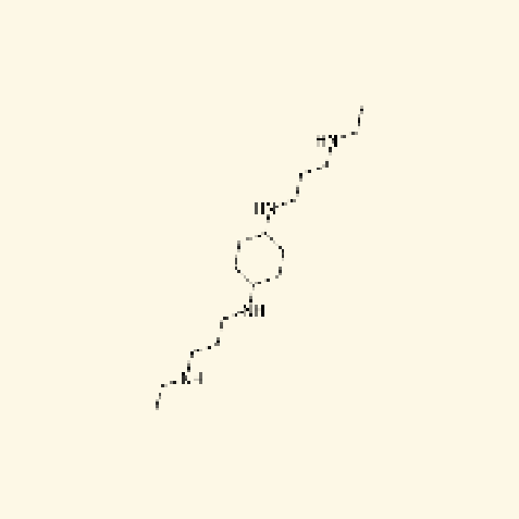 CCNCCCNC1CCC(NCCCNCC)CC1